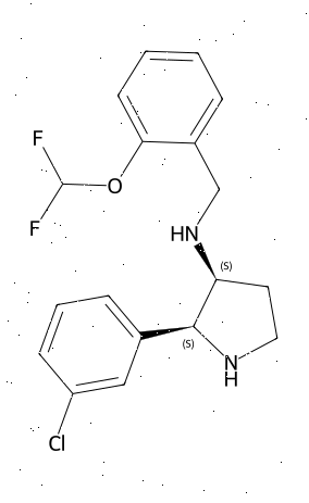 FC(F)Oc1ccccc1CN[C@H]1CCN[C@H]1c1cccc(Cl)c1